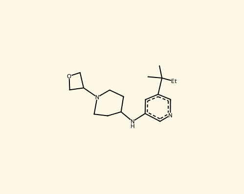 CCC(C)(C)c1cncc(NC2CCN(C3COC3)CC2)c1